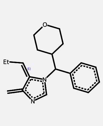 C=c1ncn(C(c2ccccc2)C2CCOCC2)/c1=C/CC